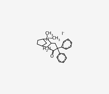 C[N+]1(C)C2CCC(C2)CC1CC(C(N)=O)(c1ccccc1)c1ccccc1.[I-]